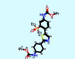 CCP(=O)(CC)c1cc(NC(=O)OC(C)C)ccc1-c1cnc(C2CCC(NC(=O)OC(C)C)CC2)s1